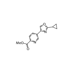 COC(=O)c1ccc(-c2coc(C3CC3)n2)cn1